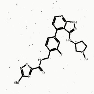 CC(=O)N1CC[C@H](Nc2n[nH]c3nccc(-c4ccc(CNC(=O)c5nc(C(C)(C)C)no5)c(F)c4)c23)C1